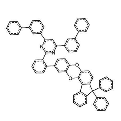 c1ccc(-c2cccc(-c3cc(-c4cccc(-c5ccccc5)c4)nc(-c4ccccc4-c4ccc5c(c4)Oc4c(ccc6c4-c4ccccc4C6(c4ccccc4)c4ccccc4)O5)n3)c2)cc1